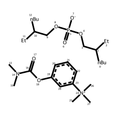 CCCCC(CC)COP(=O)([O-])OCC(CC)CCCC.CN(C)C(=O)Oc1cccc([N+](C)(C)C)c1